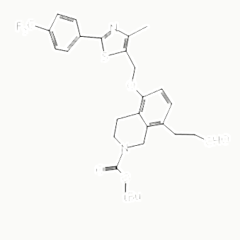 Cc1nc(-c2ccc(C(F)(F)F)cc2)sc1COc1ccc(CCC=O)c2c1CCN(C(=O)OC(C)(C)C)C2